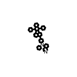 c1ccc(-c2c3c(c(-c4ccccc4)c4ccccc24)-c2ccc(-c4ccc(N(c5ccccc5)c5cccc6cnccc56)cc4)c4cccc-3c24)cc1